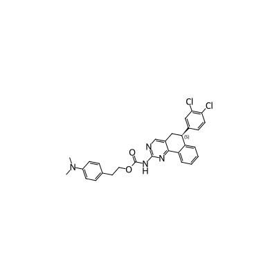 CN(C)c1ccc(CCOC(=O)Nc2ncc3c(n2)-c2ccccc2[C@H](c2ccc(Cl)c(Cl)c2)C3)cc1